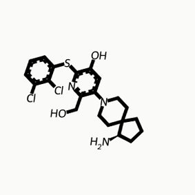 N[C@@H]1CCCC12CCN(c1cc(O)c(Sc3cccc(Cl)c3Cl)nc1CO)CC2